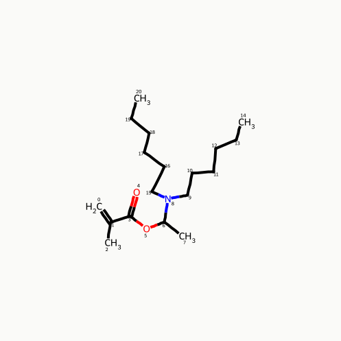 C=C(C)C(=O)OC(C)N(CCCCCC)CCCCCC